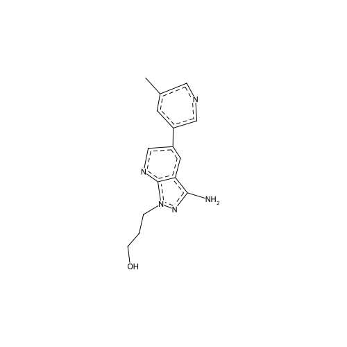 Cc1cncc(-c2cnc3c(c2)c(N)nn3CCCO)c1